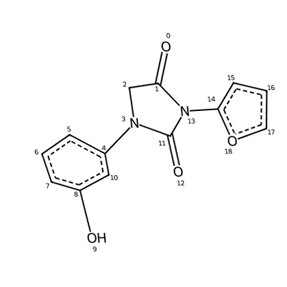 O=C1CN(c2cccc(O)c2)C(=O)N1c1ccco1